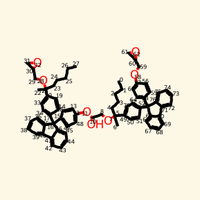 CCCCCC(C)(OCC(O)Oc1ccc(C2(c3ccc(C(C)(CCCCC)OCC4CO4)cc3)c3ccccc3-c3ccccc32)cc1)c1ccc(C2(c3ccc(OCC4CO4)cc3)c3ccccc3-c3ccccc32)cc1